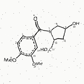 COc1ccc(C(=O)N2CC(O)CC2C(=O)O)cc1OC